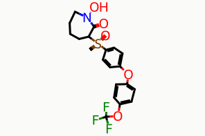 C=S(=O)(c1ccc(Oc2ccc(OC(F)(F)F)cc2)cc1)C1CCCCN(O)C1=O